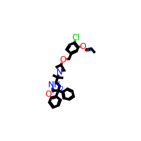 C/C=C/Oc1cc(COC2CN(C(C)(C)CCC(C(N)=O)(c3ccccc3)c3ccccc3)C2)ccc1Cl